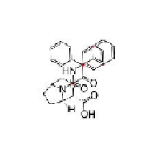 O=C(O)[C@@H]1[C@H]2CCC(CN1C(=O)C(c1ccccc1)c1ccccc1)N2C(=O)Nc1ccccc1